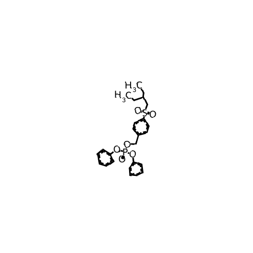 CCC(CC)CS(=O)(=O)c1ccc(COP(=O)(Oc2ccccc2)Oc2ccccc2)cc1